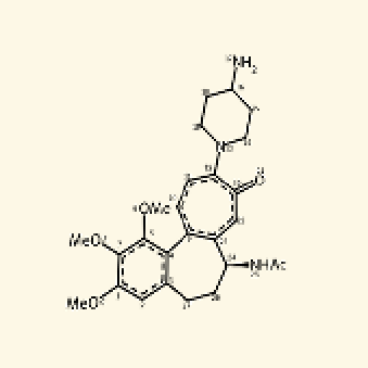 COc1cc2c(c(OC)c1OC)-c1ccc(N3CCC(N)CC3)c(=O)cc1[C@@H](NC(C)=O)CC2